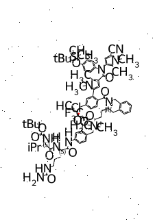 C#CCOCc1cc(NC(=O)[C@H](CCCNC(N)=O)NC(=O)[C@@H](NC(=O)OC(C)(C)C)C(C)C)ccc1C[N+](C)(C)C(CC[C@@H]1Cc2ccccc2CN1C(=O)c1ccc(Cl)cc1-c1cc(C(=O)N(c2ccc(O[Si](C)(C)C(C)(C)C)cc2)c2cc(C#N)n(C)c2C)c(C)n1C)OC(=O)C(F)(F)F